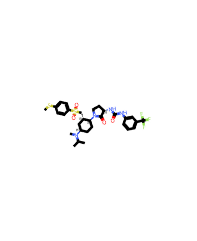 CSc1ccc(S(=O)(=O)C[C@H]2C[C@H](N(C)C(C)C)CC[C@@H]2N2CC[C@H](NC(=O)Nc3cccc(C(F)(F)F)c3)C2=O)cc1